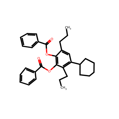 CCCc1cc(C2CCCCC2)c(CCC)c(OC(=O)c2ccccc2)c1OC(=O)c1ccccc1